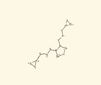 C1[Te]C(CSCC2CS2)C(CSCC2CS2)[Te]1